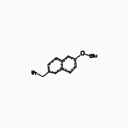 CC(C)Cc1ccc2cc(OC(C)(C)C)ccc2c1